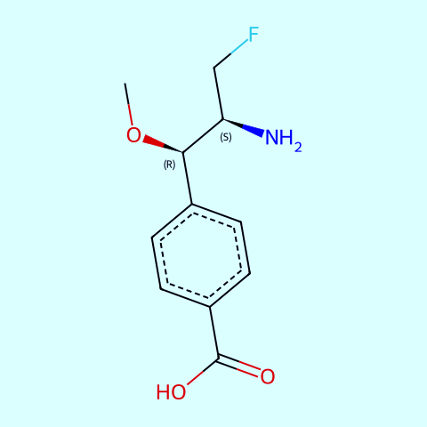 CO[C@H](c1ccc(C(=O)O)cc1)[C@H](N)CF